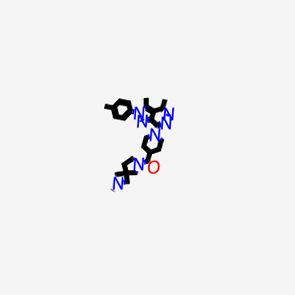 Cc1ccc(-n2nc3c(N4CCC(C(=O)N5CCC6(CN(C)C6)C5)CC4)nnc(C)c3c2C)cc1